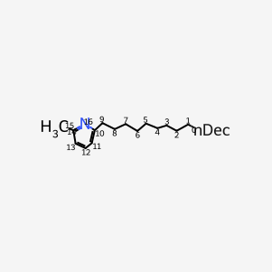 CCCCCCCCCCCCCCCCCCCc1cccc(C)n1